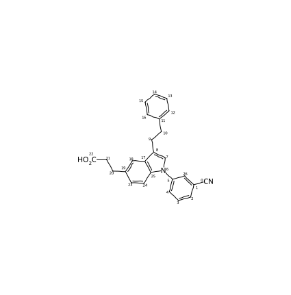 N#Cc1cccc(-n2cc(CCc3ccccc3)c3cc(CCC(=O)O)ccc32)c1